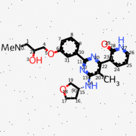 CNCC(O)COc1cccc(-c2nc(N[C@@H]3CCOC3)c(C)c(-c3ccc[nH]c3=O)n2)c1